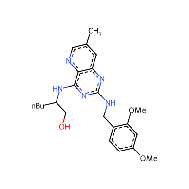 CCCCC(CO)Nc1nc(NCc2ccc(OC)cc2OC)nc2cc(C)cnc12